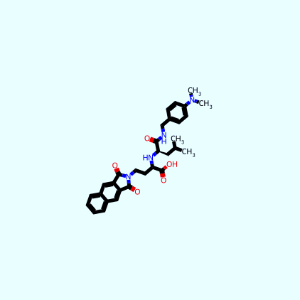 CC(C)C[C@@H](NC(CCN1C(=O)c2cc3ccccc3cc2C1=O)C(=O)O)C(=O)NCc1ccc(N(C)C)cc1